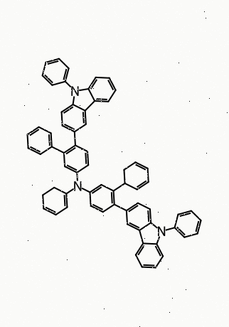 C1=CCCC(N(c2ccc(-c3ccc4c(c3)c3ccccc3n4-c3ccccc3)c(-c3ccccc3)c2)c2ccc(-c3ccc4c(c3)c3ccccc3n4-c3ccccc3)c(C3C=CC=CC3)c2)=C1